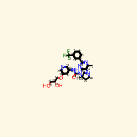 Cc1nc(-c2cccc(C(F)(F)F)c2)nc2c1N1CC[C@@H](C1)N2C(=O)Nc1cncc(OC[C@H](O)CO)c1